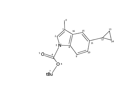 Cc1cn(C(=O)OC(C)(C)C)c2ccc(C3CC3)cc12